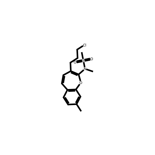 Cc1ccc2c(c1)OC(N(C)S(C)(=O)=O)=C(CCCCl)C=C2